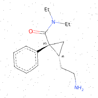 CCN(CC)C(=O)[C@]1(c2ccccc2)C[C@@H]1CCN